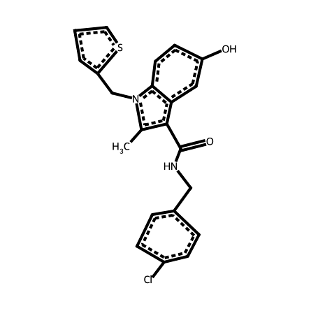 Cc1c(C(=O)NCc2ccc(Cl)cc2)c2cc(O)ccc2n1Cc1cccs1